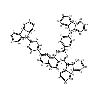 c1ccc2c(c1)c1ccccc1n2-c1ccc(-c2ccc3ccc4c(-n5c6ccccc6c6cccnc65)nc(-c5ccc(-n6c7ccccc7c7ccccc76)cc5)nc4c3n2)cc1